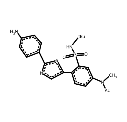 CC(=O)N(C)c1ccc(-c2cnc(-c3ccc(N)cc3)s2)c(S(=O)(=O)NC(C)(C)C)c1